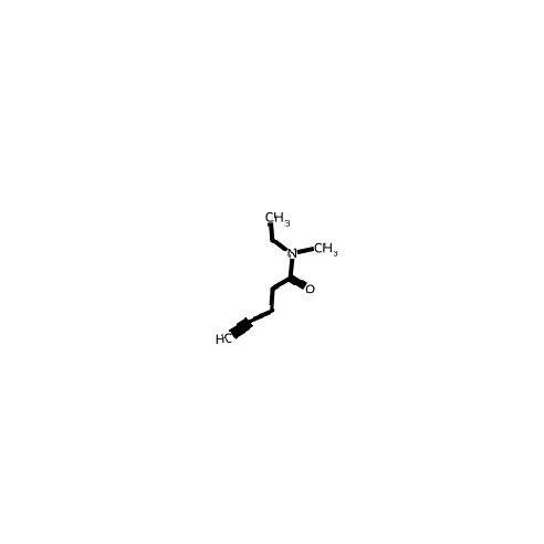 C#CCCC(=O)N(C)CC